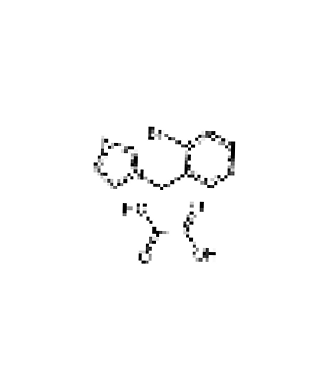 Brc1ccccc1Cn1ccnc1.O=C(O)C(=O)O